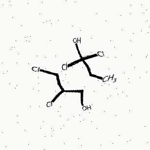 CCC(O)(Cl)Cl.OCC(Cl)CCl